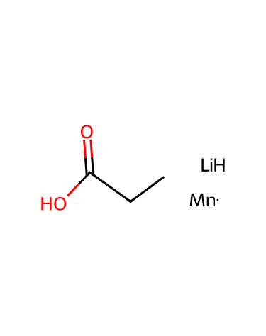 CCC(=O)O.[LiH].[Mn]